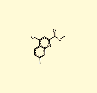 COC(=O)c1cc(Cl)c2ccc(C)cc2n1